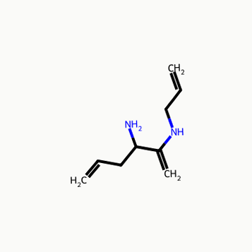 C=CCNC(=C)[C](N)CC=C